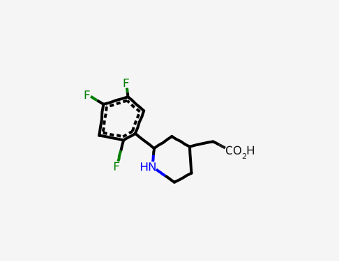 O=C(O)CC1CCNC(c2cc(F)c(F)cc2F)C1